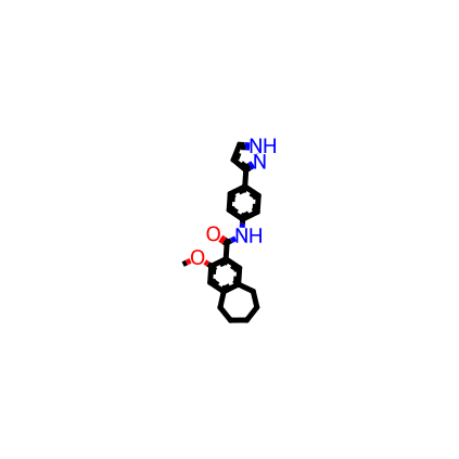 COc1cc2c(cc1C(=O)Nc1ccc(-c3cc[nH]n3)cc1)CCCCC2